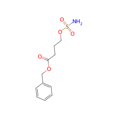 NS(=O)(=O)OCCCC(=O)OCc1ccccc1